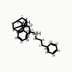 CC1C2CC3CC1CC(C2)C3(CC(=O)NCCCc1ccccc1)c1ccccc1